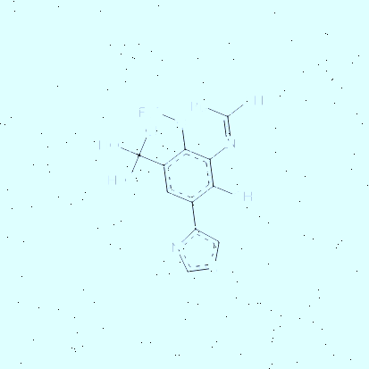 CCC(C)/C(C)=N\c1c(C)c(-c2cscn2)cc(C(C)(C)O)c1OC(F)(F)F